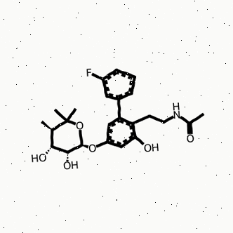 CC(=O)NCCc1c(O)cc(O[C@@H]2OC(C)(C)[C@H](C)[C@@H](O)[C@H]2O)cc1-c1cccc(F)c1